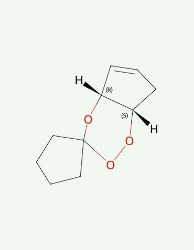 C1=C[C@H]2OC3(CCCC3)OO[C@H]2C1